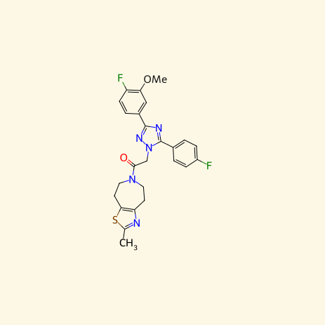 COc1cc(-c2nc(-c3ccc(F)cc3)n(CC(=O)N3CCc4nc(C)sc4CC3)n2)ccc1F